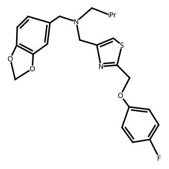 CC(C)CN(Cc1ccc2c(c1)OCO2)Cc1csc(COc2ccc(F)cc2)n1